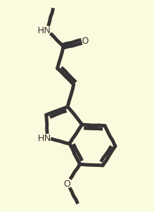 CNC(=O)C=Cc1c[nH]c2c(OC)cccc12